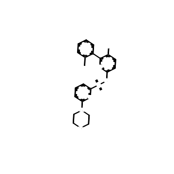 Cc1ccccc1-c1nc(NS(=O)(=O)c2cccc(N3CCNC[C@H]3C)n2)ccc1C(F)(F)F.Cl